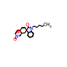 CCCCCN1C(=O)C2(C=CC34OCOC3=C[N+](=O)CC4C2)c2ccccc21